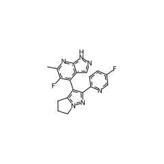 Cc1nc2[nH]ncc2c(-c2c(-c3ccc(F)cn3)nn3c2CCC3)c1F